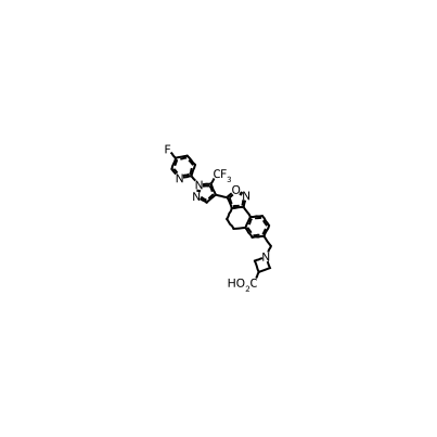 O=C(O)C1CN(Cc2ccc3c(c2)CCc2c-3noc2-c2cnn(-c3ccc(F)cn3)c2C(F)(F)F)C1